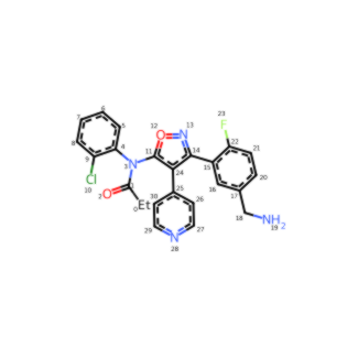 CCC(=O)N(c1ccccc1Cl)c1onc(-c2cc(CN)ccc2F)c1-c1ccncc1